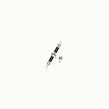 [Al].[O]=[Pb]=[O]